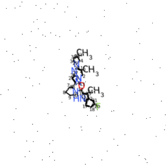 Cc1cn2nc([C@@H]3CCCCN3C(=O)c3[nH]c4ccc(F)cc4c3C)cc2nc1N1CC[C@H](C)C1